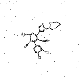 N#Cc1c(N)nc(-c2cnn(C3CCCCO3)c2)c(C#N)c1-c1ccc(Cl)c(Cl)c1